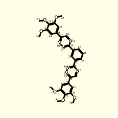 COc1cc(-c2cnc(-c3cccc(-c4ncc(-c5cc(OC)c(OC)c(OC)c5)nn4)c3)nn2)cc(OC)c1OC